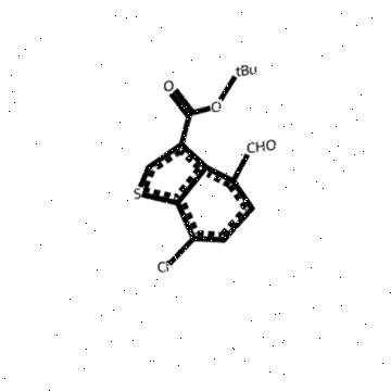 CC(C)(C)OC(=O)c1csc2c(Cl)ccc(C=O)c12